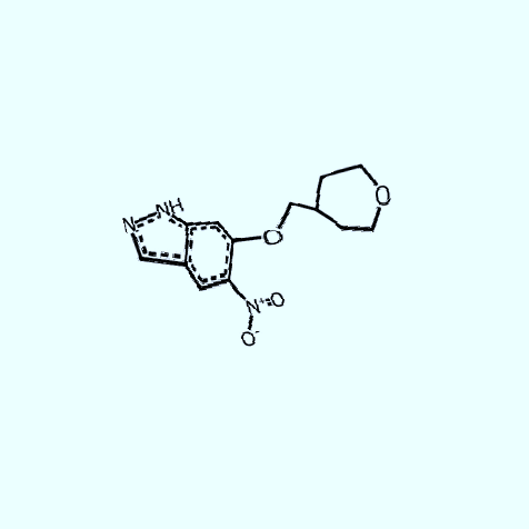 O=[N+]([O-])c1cc2cn[nH]c2cc1OCC1CCOCC1